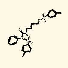 Cc1ccc(S(=O)(=O)OCCCCC(OS(=O)(=O)c2ccc(C)cc2)C(=O)Oc2ccccc2)cc1